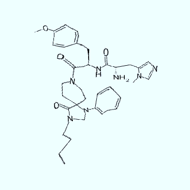 CCCCN1CN(c2ccccc2)C2(CCN(C(=O)[C@@H](Cc3ccc(OC)cc3)NC(=O)[C@@H](N)Cc3cncn3C)CC2)C1=O